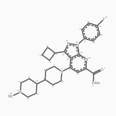 COC(=O)c1cc(N2CCC(C3CCN(C#N)CC3)CC2)c2c(C3CCC3)nn(-c3ccc(F)cc3)c2n1